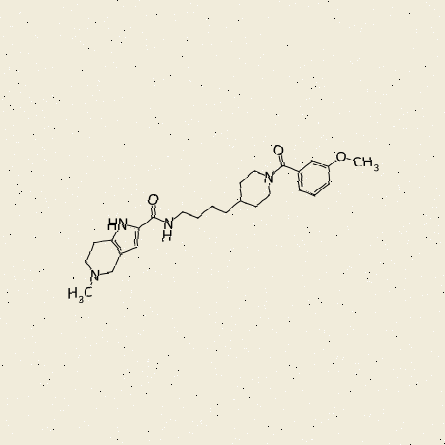 COc1cccc(C(=O)N2CCC(CCCCNC(=O)c3cc4c([nH]3)CCN(C)C4)CC2)c1